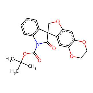 CC(C)(C)OC(=O)N1C(=O)C2(COc3cc4c(cc32)OCCO4)c2ccccc21